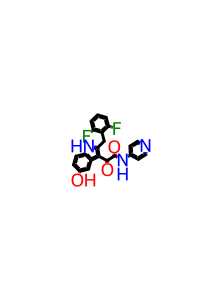 O=C(Nc1ccncc1)C(=O)c1c(Cc2c(F)cccc2F)[nH]c2ccc(O)cc12